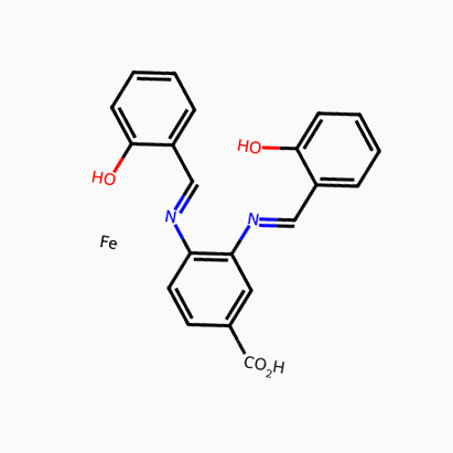 O=C(O)c1ccc(N=Cc2ccccc2O)c(N=Cc2ccccc2O)c1.[Fe]